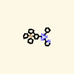 c1ccc(-c2nc(-c3ccc4c(c3)-c3ccccc3S4(c3ccccc3)c3ccccc3)nc(-c3ccccn3)n2)cc1